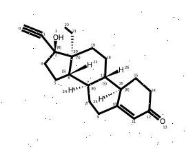 C#C[C@@]1(O)CC[C@H]2[C@@H]3CCC4=CC(=O)CC[C@@H]4[C@H]3CC[C@@]21CC